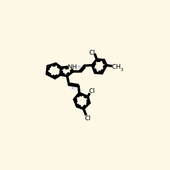 Cc1ccc(/C=C/c2[nH]c3ccccc3c2/C=C/c2ccc(Cl)cc2Cl)c(Cl)c1